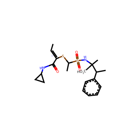 C/C=C(\SC(C)S(=O)(=O)NC(C)(C(=O)O)C(C)c1ccccc1)C(=O)NC1CC1